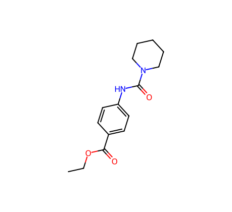 CCOC(=O)c1ccc(NC(=O)N2CCCCC2)cc1